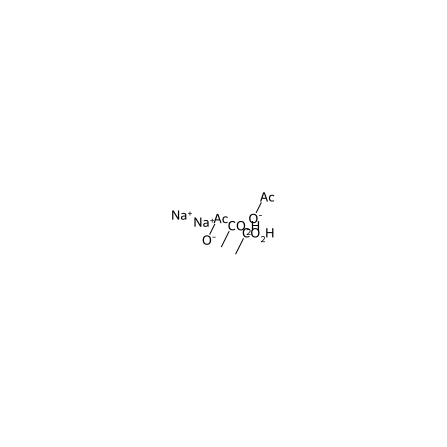 CC(=O)O.CC(=O)O.CC(=O)[O-].CC(=O)[O-].[Na+].[Na+]